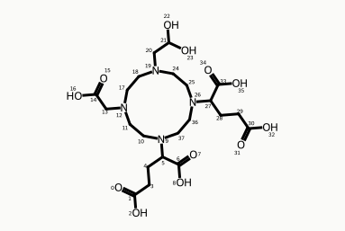 O=C(O)CCC(C(=O)O)N1CCN(CC(=O)O)CCN(CC(O)O)CCN(C(CCC(=O)O)C(=O)O)CC1